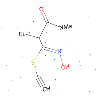 C#CSC(=NO)C(CC)C(=O)NC